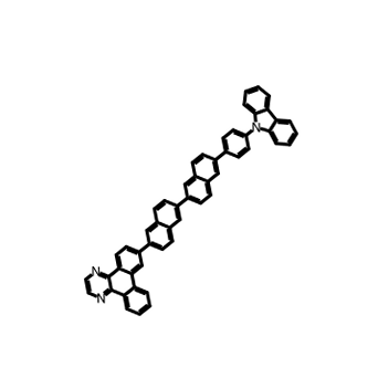 c1ccc2c(c1)c1cc(-c3ccc4cc(-c5ccc6cc(-c7ccc(-n8c9ccccc9c9ccccc98)cc7)ccc6c5)ccc4c3)ccc1c1nccnc21